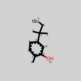 Cc1ccc(C(C)(C)CC(C)(C)C)cc1O